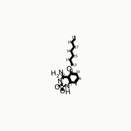 NC1=NS(=O)(=O)Nc2cccc(OCCCCCCI)c21